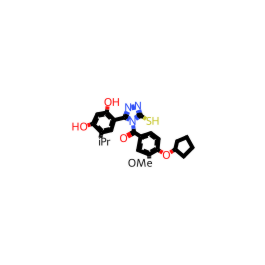 COc1cc(C(=O)n2c(S)nnc2-c2cc(C(C)C)c(O)cc2O)ccc1OC1CCCC1